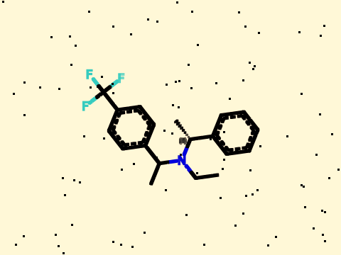 CCN(C(C)c1ccc(C(F)(F)F)cc1)[C@H](C)c1ccccc1